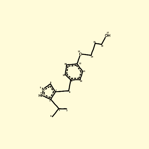 CC(C)c1[nH]ncc1Cc1ccc(OCCCO)cc1